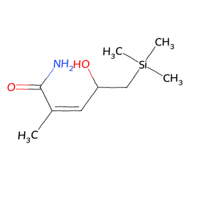 CC(=CC(O)C[Si](C)(C)C)C(N)=O